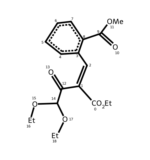 CCOC(=O)/C(=C/c1ccccc1C(=O)OC)C(=O)C(OCC)OCC